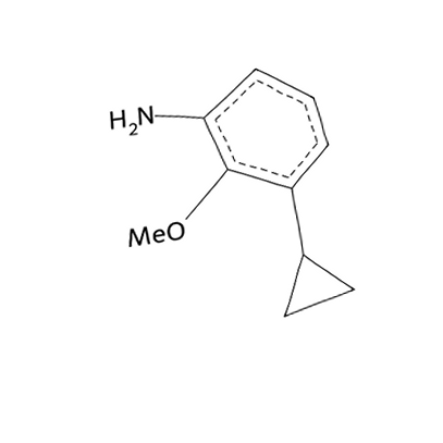 COc1c(N)cccc1C1CC1